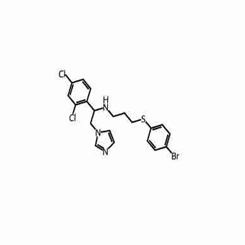 Clc1ccc(C(Cn2ccnc2)NCCCSc2ccc(Br)cc2)c(Cl)c1